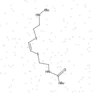 CCCCC(=O)NCCS/C=C\SCCNC(C)(C)C